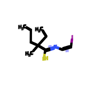 CCCC(C)(CC)/C(S)=N/C=C\I